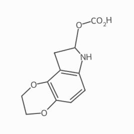 O=C(O)OC1Cc2c(ccc3c2OCCO3)N1